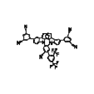 N#Cc1cc(C#N)cc(-c2ccc3c(c2)c2ccccc2n3-c2cc(C#N)c(-c3ccc(C(F)(F)F)cc3C(F)(F)F)cc2-n2c3ccccc3c3cc(-c4cc(C#N)cc(C#N)c4)ccc32)c1